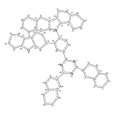 c1ccc2cc(-c3nc(-c4ccc(-n5c6cc7ccccc7cc6c6ccc7ccccc7c65)c(-c5ccc6c(c5)oc5ccccc56)c4)nc(-c4ccc5ccccc5c4)n3)ccc2c1